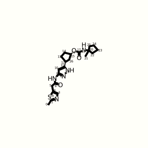 Cc1ncc(CC(=O)Nc2cc([C@H]3CC[C@@H](OC(=O)NC4(C)CCCC4)C3)[nH]n2)s1